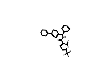 O=C(NC(c1ccccc1)c1ccc(C2=CCCCC2)cc1)c1ccc(C(F)(F)F)[nH]c1=O